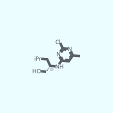 Cc1cc(N[C@H](CO)CC(C)C)nc(Cl)n1